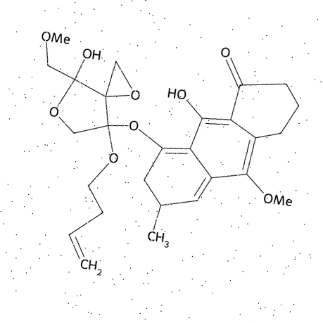 C=CCCOC1(OC2=c3c(O)c4c(c(OC)c3=CC(C)C2)CCCC4=O)COC(O)(COC)C12CO2